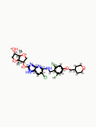 O[C@@H]1CO[C@H]2[C@@H]1OC[C@H]2Oc1nc2nc(NCc3c(F)cc(OCC4CCOCC4)cc3F)c(Cl)cc2[nH]1